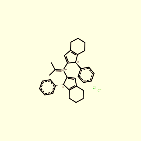 C[C](C)=[Zr+2]([C]1=CC2=C(CCCC2)[C@@H]1c1ccccc1)[C]1=CC2=C(CCCC2)[C@H]1c1ccccc1.[Cl-].[Cl-]